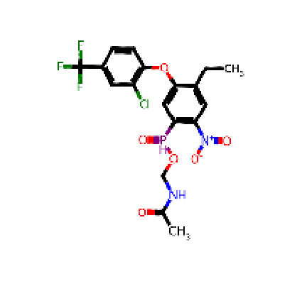 CCc1cc([N+](=O)[O-])c([PH](=O)OCNC(C)=O)cc1Oc1ccc(C(F)(F)F)cc1Cl